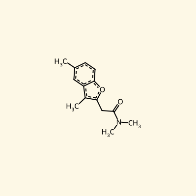 Cc1ccc2oc(CC(=O)N(C)C)c(C)c2c1